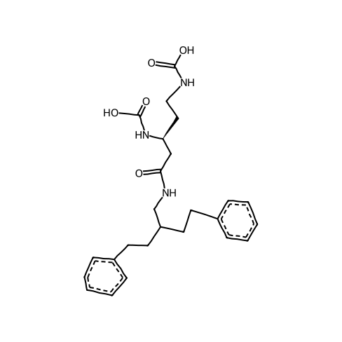 O=C(O)NCC[C@@H](CC(=O)NCC(CCc1ccccc1)CCc1ccccc1)NC(=O)O